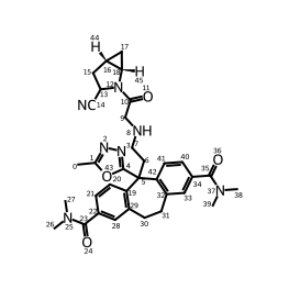 Cc1nnc(C2(CCNCC(=O)N3C(C#N)C[C@@H]4C[C@@H]43)c3ccc(C(=O)N(C)C)cc3CCc3cc(C(=O)N(C)C)ccc32)o1